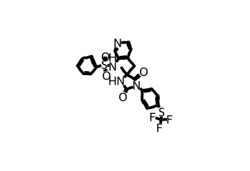 CC1(Cc2ccncc2NS(=O)(=O)c2ccccc2)NC(=O)N(c2ccc(SC(F)(F)F)cc2)C1=O